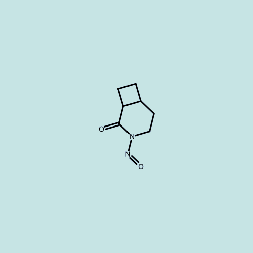 O=NN1CCC2CCC2C1=O